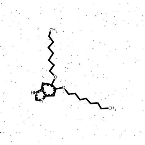 CCCCCCCCOc1cc2nc[nH]c2cc1OCCCCCCCC